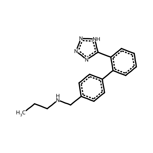 CCCNCc1ccc(-c2ccccc2-c2nnn[nH]2)cc1